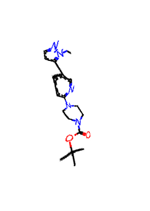 Cn1nccc1-c1ccc(N2CCN(C(=O)OC(C)(C)C)CC2)nc1